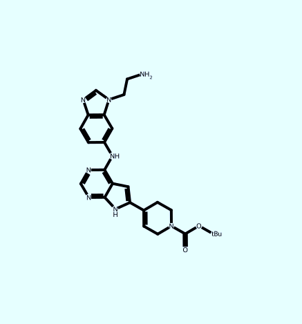 CC(C)(C)OC(=O)N1CC=C(c2cc3c(Nc4ccc5ncn(CCN)c5c4)ncnc3[nH]2)CC1